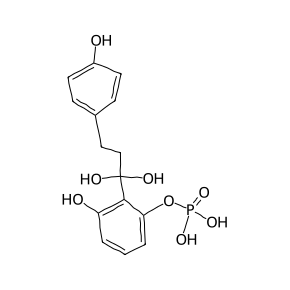 O=P(O)(O)Oc1cccc(O)c1C(O)(O)CCc1ccc(O)cc1